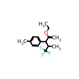 C=C(OCC)C(c1ccc(C)cc1)C(C)C(F)(F)F